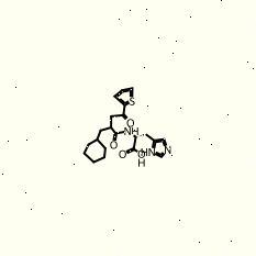 O=C(CC(CC1CCCCC1)C(=O)N[C@H](Cc1cnc[nH]1)C(=O)O)c1cccs1